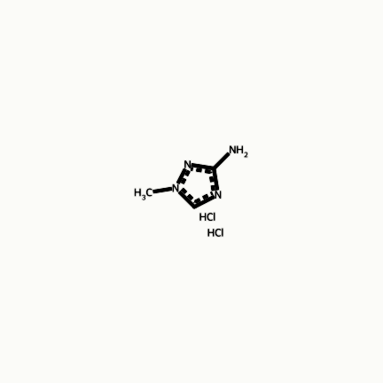 Cl.Cl.Cn1cnc(N)n1